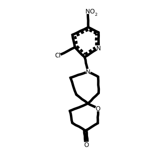 O=C1CCC2(CCN(c3ncc([N+](=O)[O-])cc3Cl)CC2)OC1